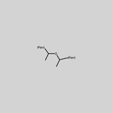 CCCC(C)C(C)OC(C)C(C)CCC